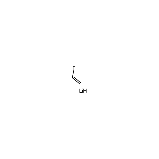 C=CF.[LiH]